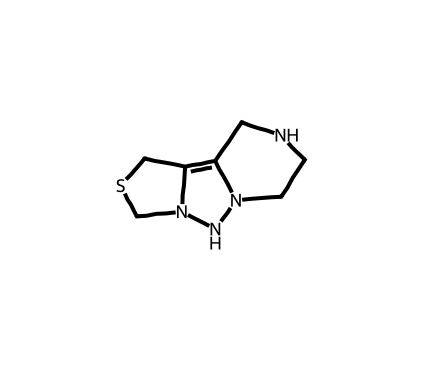 C1CN2NN3CSCC3=C2CN1